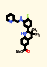 COC(=O)c1ccc2c(c1)CC(C)(C)C(c1ccc(F)c(NCc3ccccn3)c1)N2